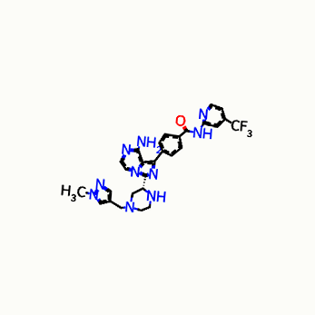 Cn1cc(CN2CCN[C@@H](c3nc(-c4ccc(C(=O)Nc5cc(C(F)(F)F)ccn5)cc4)c4c(N)nccn34)C2)cn1